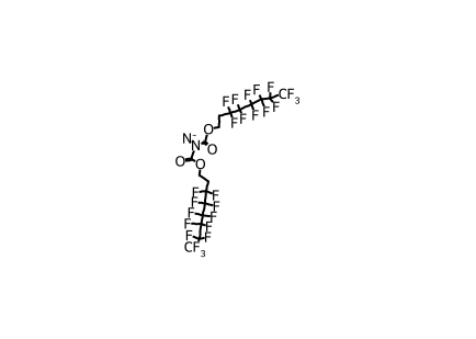 [N-]=[N+](C(=O)OCCC(F)(F)C(F)(F)C(F)(F)C(F)(F)C(F)(F)C(F)(F)F)C(=O)OCCC(F)(F)C(F)(F)C(F)(F)C(F)(F)C(F)(F)C(F)(F)F